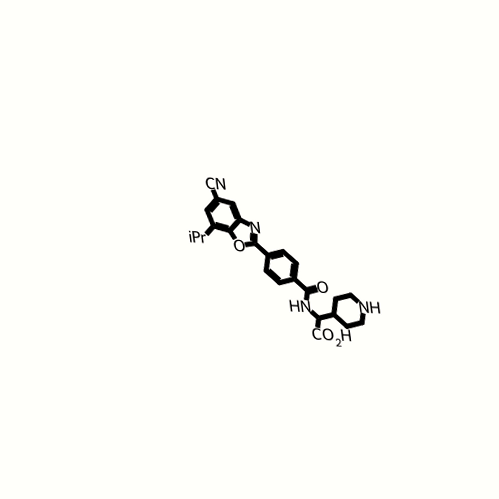 CC(C)c1cc(C#N)cc2nc(-c3ccc(C(=O)NC(C(=O)O)C4CCNCC4)cc3)oc12